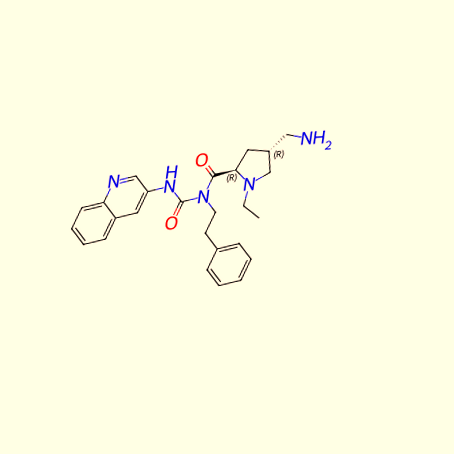 CCN1C[C@@H](CN)C[C@@H]1C(=O)N(CCc1ccccc1)C(=O)Nc1cnc2ccccc2c1